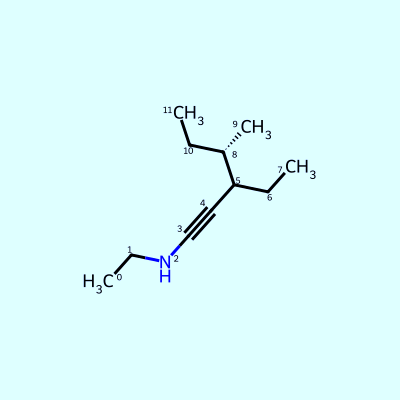 CCNC#CC(CC)[C@@H](C)CC